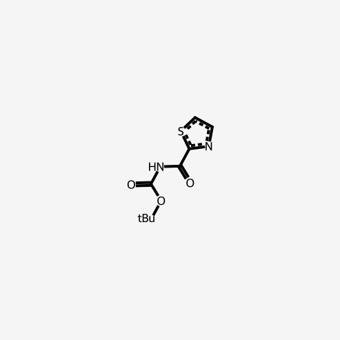 CC(C)(C)OC(=O)NC(=O)c1nccs1